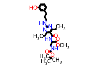 CCc1nc(NCCCc2cccc(O)c2)nc(CC)c1C(=O)NC(CNC(=O)OC(C)(C)C)C(=O)OC